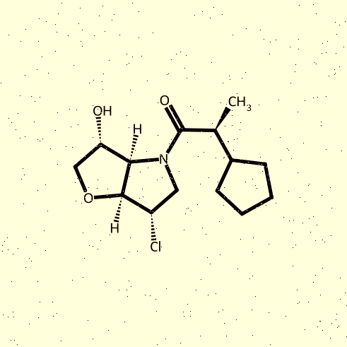 C[C@H](C(=O)N1C[C@H](Cl)[C@H]2OC[C@H](O)[C@H]21)C1CCCC1